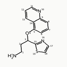 NCCC(Oc1cccc2ncccc12)c1nccs1